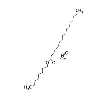 CCCCCCCCCCCCCCCC(=O)OCCCCCCCC.O=NO